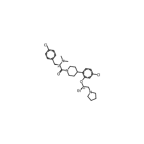 CC[C@H](CN1CCCC1)Oc1cc(Cl)ccc1C1CCN(C(=O)[C@@H](Cc2ccc(Cl)cc2)N(C)C)CC1